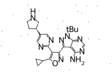 CC(C)(C)n1nc(-c2noc(C3CC3)c2-c2ncc([C@H]3CCNC3)cn2)c2c(N)ncnc21